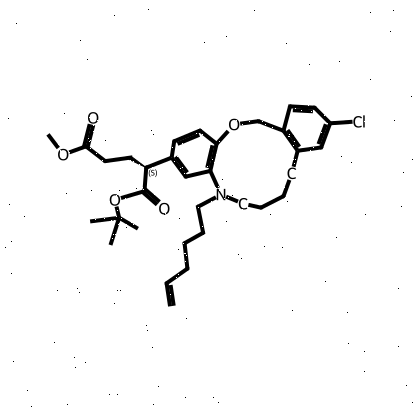 C=CCCCCN1CCCCc2cc(Cl)ccc2COc2ccc([C@H](CCC(=O)OC)C(=O)OC(C)(C)C)cc21